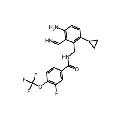 N=Cc1c(N)ccc(C2CC2)c1CNC(=O)c1ccc(OC(F)(F)F)c(F)c1